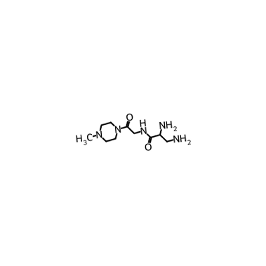 CN1CCN(C(=O)CNC(=O)C(N)CN)CC1